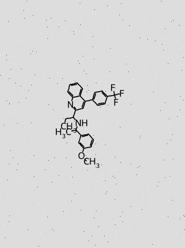 CCC(N[C@H](C)c1cccc(OC)c1)c1cc(-c2ccc(C(F)(F)F)cc2)c2ccccc2n1